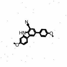 COc1ccc(-c2cc(C#N)c3[nH]c4cc(OC)ccc4c3c2)cc1